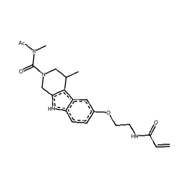 C=CC(=O)NCCOc1ccc2[nH]c3c(c2c1)C(C)CN(C(=O)N(C)C(C)=O)C3